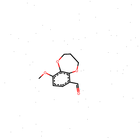 COc1ccc(C=O)c2c1OCCCO2